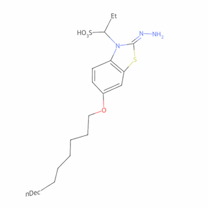 CCCCCCCCCCCCCCCCOc1ccc2c(c1)sc(=NN)n2C(CC)S(=O)(=O)O